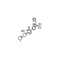 CCC(CC)n1c(Cc2cccs2)nc2cc(C(=O)N[C@@H](CC(C)C)C(=O)N3CCC(N4CCCC(C)C4)CC3)ccc21